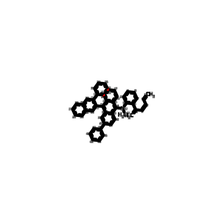 C=C/C=C\C(=C)c1ccccc1N(C)c1c2ccccc2c(-c2cc3ccccc3cc2-c2ccccc2)c2cc(-c3ccccc3)ccc12